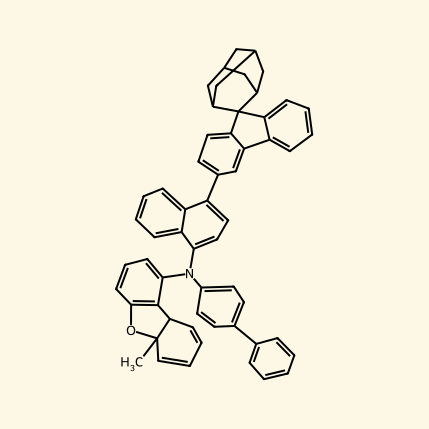 CC12C=CC=CC1c1c(cccc1N(c1ccc(-c3ccccc3)cc1)c1ccc(-c3ccc4c(c3)-c3ccccc3C43C4CC5CC(C4)CC3C5)c3ccccc13)O2